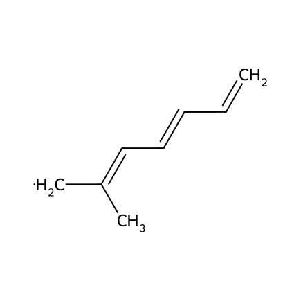 [CH2]C(C)=CC=CC=C